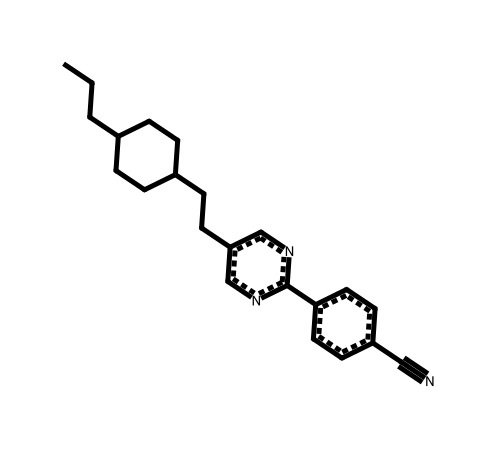 CCCC1CCC(CCc2cnc(-c3ccc(C#N)cc3)nc2)CC1